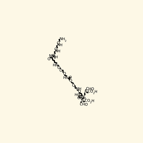 NCCONCCONCCONC(CCCCNCOCOCCOCCNC(=O)COCCOCCNCOCCC(N(CCN(CC=O)CC(=O)O)CCN(CC=O)CC(=O)O)P(=O)(O)O)C(N)=O